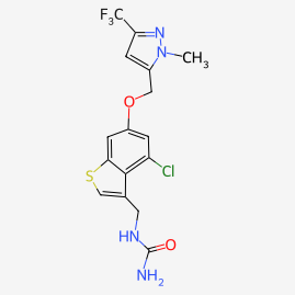 Cn1nc(C(F)(F)F)cc1COc1cc(Cl)c2c(CNC(N)=O)csc2c1